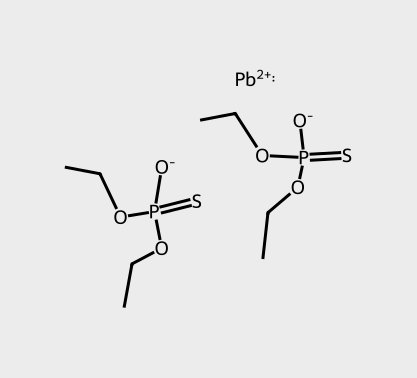 CCOP([O-])(=S)OCC.CCOP([O-])(=S)OCC.[Pb+2]